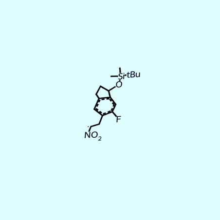 CC(C)(C)[Si](C)(C)OC1CCc2cc(C[CH][N+](=O)[O-])c(F)cc21